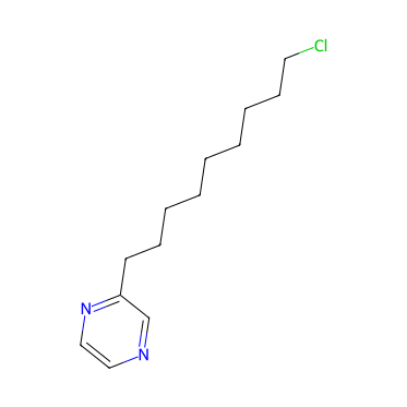 ClCCCCCCCCCc1cnccn1